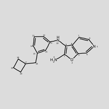 Nc1oc2cnccc2c1Nc1cccc(CC2CCC2)c1